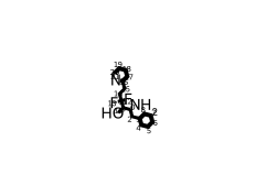 NC(Cc1ccccc1)C(O)C(F)(F)CCc1ccccn1